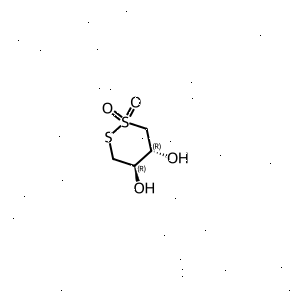 O=S1(=O)C[C@H](O)[C@@H](O)CS1